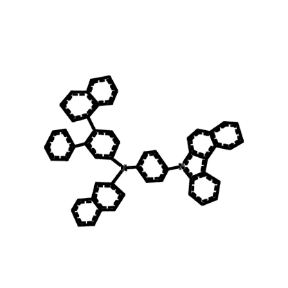 c1ccc(-c2cc(N(c3ccc(-n4c5ccccc5c5c6ccccc6ccc54)cc3)c3ccc4ccccc4c3)ccc2-c2cccc3ccccc23)cc1